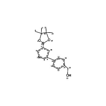 CC1(C)OB(c2cncc(-c3ccc(CO)cc3)c2)OC1(C)C